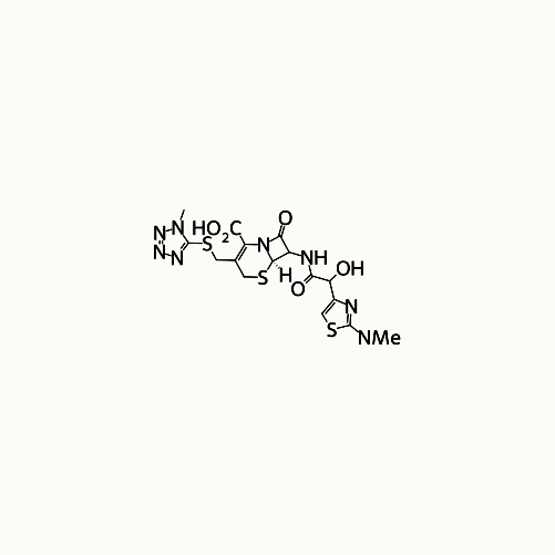 CNc1nc(C(O)C(=O)NC2C(=O)N3C(C(=O)O)=C(CSc4nnnn4C)CS[C@H]23)cs1